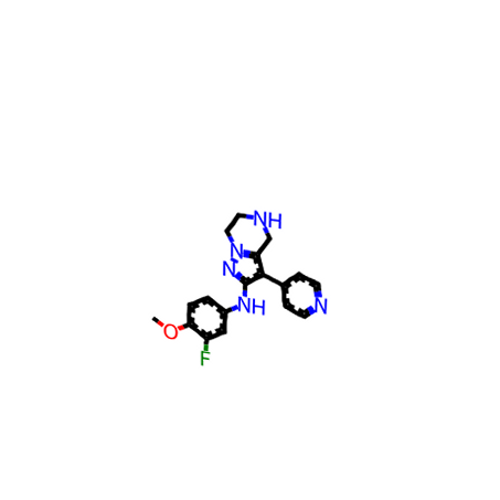 COc1ccc(Nc2nn3c(c2-c2ccncc2)CNCC3)cc1F